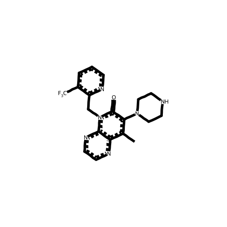 Cc1c(N2CCNCC2)c(=O)n(Cc2ncccc2C(F)(F)F)c2nccnc12